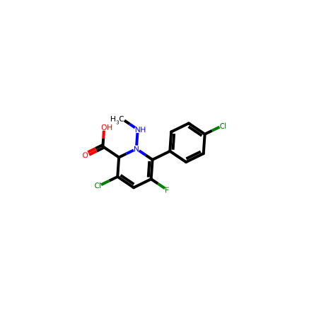 CNN1C(c2ccc(Cl)cc2)=C(F)C=C(Cl)C1C(=O)O